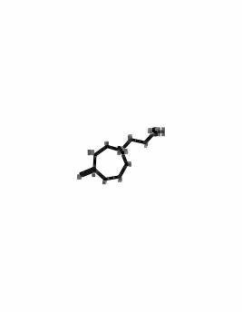 C=C1CCCN(CCS)CC1